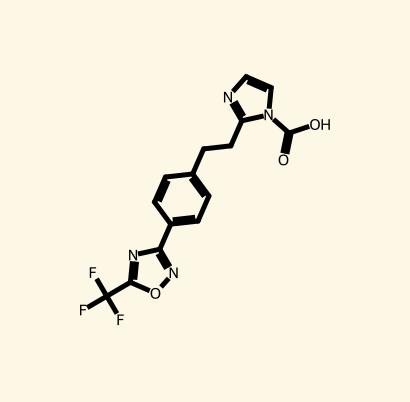 O=C(O)n1ccnc1CCc1ccc(-c2noc(C(F)(F)F)n2)cc1